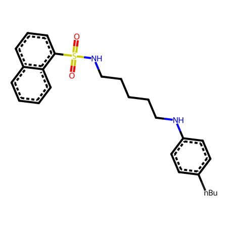 CCCCc1ccc(NCCCCCNS(=O)(=O)c2cccc3ccccc23)cc1